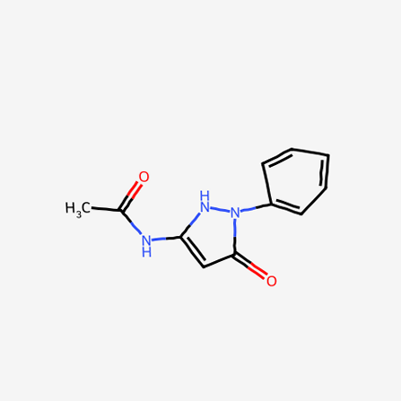 CC(=O)Nc1cc(=O)n(-c2ccccc2)[nH]1